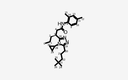 CCC[C@@H](CC(=O)Nc1ccc(C)cc1C)c1nnc(CCCC(C)(C)C)n1C1CC1